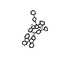 c1ccc(-c2ccc(-c3c4oc5cccc(N(c6ccc(-c7ccccc7)cc6)c6ccc7c(c6)C6(c8ccccc8-c8ccccc86)c6ccccc6-7)c5c4cc4oc5ccccc5c34)cc2)cc1